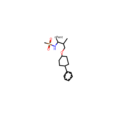 CCCCCC(NS(C)(=O)=O)C(C)COC1CCC(c2ccccc2)CC1